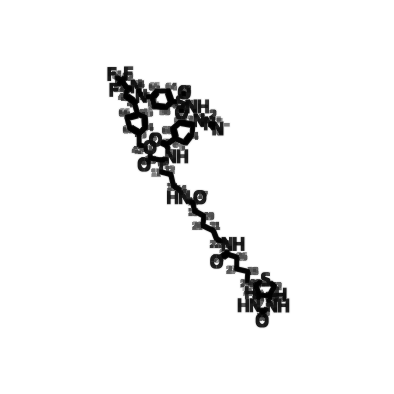 [N-]=[N+]=Nc1ccc(C(=O)N[C@@H](CCCCNC(=O)CCCCCNC(=O)CCCC[C@@H]2SC[C@@H]3NC(=O)N[C@H]32)C(=O)OCc2ccc(-c3cc(C(F)(F)F)nn3-c3ccc(S(N)(=O)=O)cc3)cc2)cc1